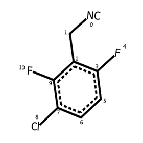 [C-]#[N+]Cc1c(F)ccc(Cl)c1F